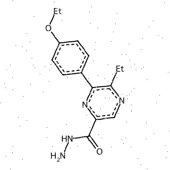 CCOc1ccc(-c2nc(C(=O)NN)cnc2CC)cc1